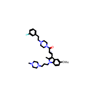 COc1ccc2c(c1)c(/C=C/C(=O)N1CCN(CCc3cccc(F)c3)CC1)c(C)n2CCCN1CCN(C)CC1